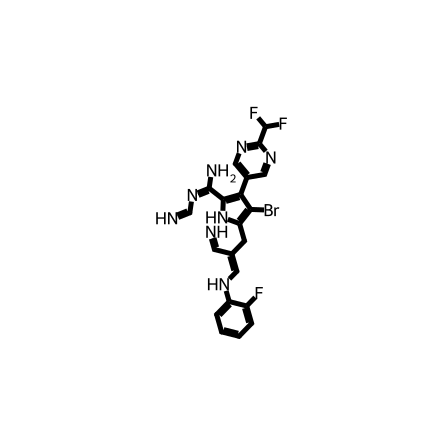 N=C/N=C(/N)c1[nH]c(C/C(C=N)=C/Nc2ccccc2F)c(Br)c1-c1cnc(C(F)F)nc1